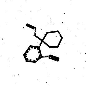 C#Cc1ccccc1C1(CC=C)CCCCC1